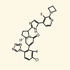 O=C1C=C(c2c(-n3cnnn3)ccc(Cl)c2F)C[C@H]2CCC(c3ncc(-c4ccnc(N5CCC5)c4F)[nH]3)N12